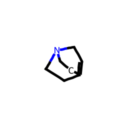 C1=C2CCN(C1)CC2